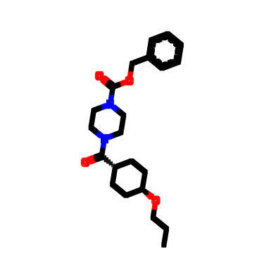 CCCO[C@H]1CC[C@H](C(=O)N2CCN(C(=O)OCc3ccccc3)CC2)CC1